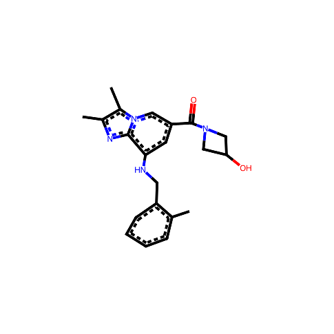 Cc1ccccc1CNc1cc(C(=O)N2CC(O)C2)cn2c(C)c(C)nc12